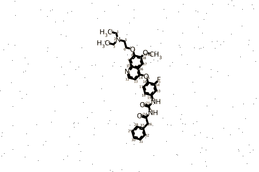 CCN(CC)CCOc1cc2nccc(Oc3ccc(NC(=O)NC(=O)Cc4ccccc4)cc3F)c2cc1OC